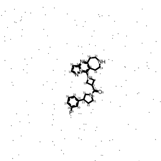 O=C(C1CN(c2c3c(nc4ccnn24)CCNCC3)C1)N1CCC(c2cccc(F)c2)C1